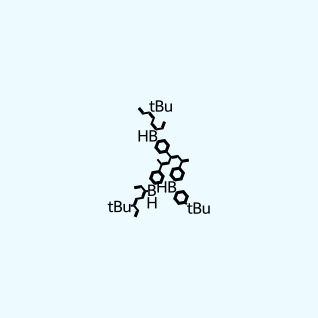 C=C/C(Bc1ccc(/C(C)=C/C(=C\C(=C)c2ccc(Bc3ccc(C(C)(C)C)cc3)cc2)c2ccc(B/C(C=C)=C/C=C(\C=C)C(C)(C)C)cc2)cc1)=C\C=C(/C=C)C(C)(C)C